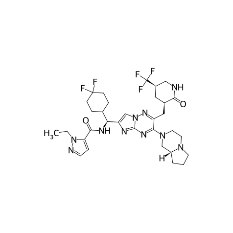 CCn1nccc1C(=O)N[C@H](c1cn2nc(C[C@H]3C[C@@H](C(F)(F)F)CNC3=O)c(N3CCN4CCC[C@@H]4C3)nc2n1)C1CCC(F)(F)CC1